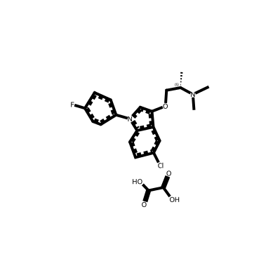 C[C@@H](COc1cn(-c2ccc(F)cc2)c2ccc(Cl)cc12)N(C)C.O=C(O)C(=O)O